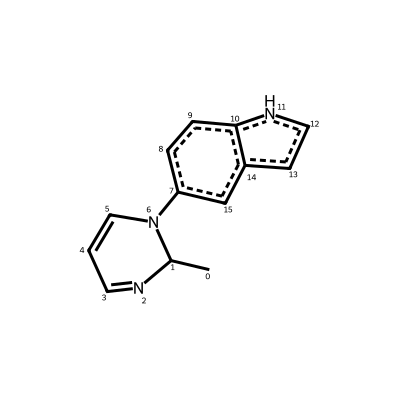 CC1N=CC=CN1c1ccc2[nH]ccc2c1